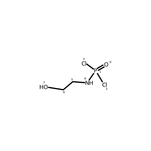 O=P(Cl)(Cl)NCCO